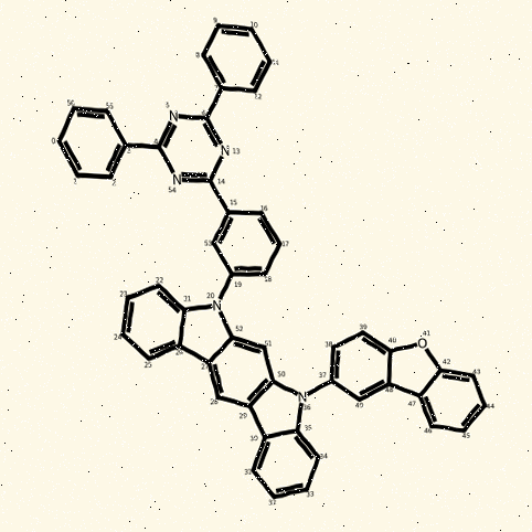 c1ccc(-c2nc(-c3ccccc3)nc(-c3cccc(-n4c5ccccc5c5cc6c7ccccc7n(-c7ccc8oc9ccccc9c8c7)c6cc54)c3)n2)cc1